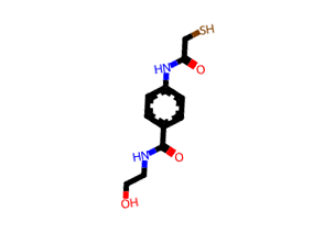 O=C(CS)Nc1ccc(C(=O)NCCO)cc1